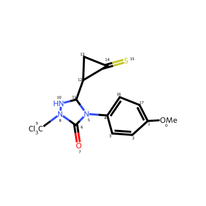 COc1ccc(N2C(=O)N(C(Cl)(Cl)Cl)NC2C2CC2=S)cc1